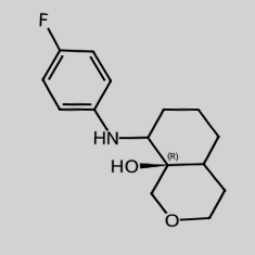 O[C@]12COCCC1CCCC2Nc1ccc(F)cc1